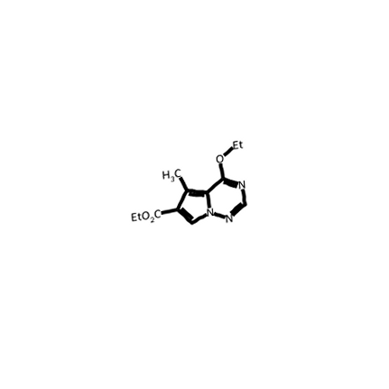 CCOC(=O)c1cn2ncnc(OCC)c2c1C